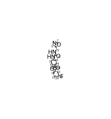 O=C(NCc1cnco1)Nc1ccc(S(=O)(=O)c2cccc(F)c2)cc1